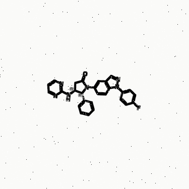 O=C1C[C@H](Nc2ncccn2)[C@@H](c2ccccc2)N1c1ccc2c(cnn2-c2ccc(F)cc2)c1